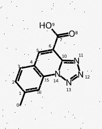 Cc1ccc2cc(C(=O)O)c3nnnn3c2c1